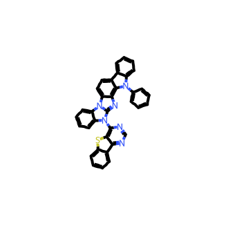 c1ccc(-n2c3ccccc3c3ccc4c(nc5n(-c6ncnc7c6sc6ccccc67)c6ccccc6n45)c32)cc1